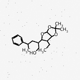 CCC1C(C(CO)CC(C)c2ccccc2)OC2OC(C)(C)OC21